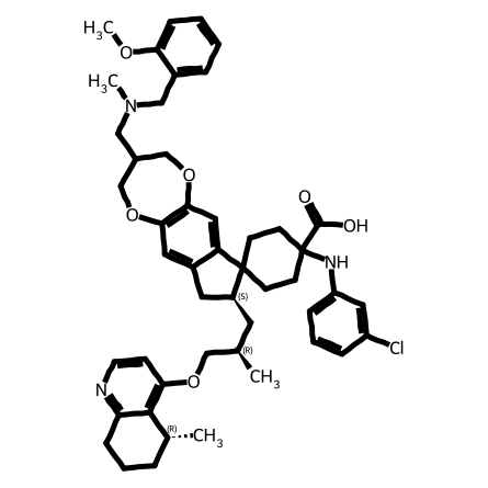 COc1ccccc1CN(C)CC1COc2cc3c(cc2OC1)C1(CCC(Nc2cccc(Cl)c2)(C(=O)O)CC1)[C@@H](C[C@@H](C)COc1ccnc2c1[C@H](C)CCC2)C3